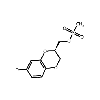 CS(=O)(=O)OC[C@H]1COc2ccc(F)cc2O1